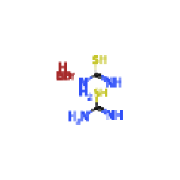 Br.Br.N=C(N)S.N=C(N)S